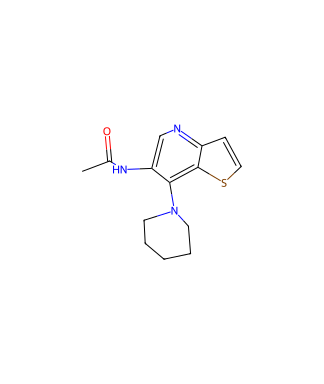 CC(=O)Nc1cnc2ccsc2c1N1CCCCC1